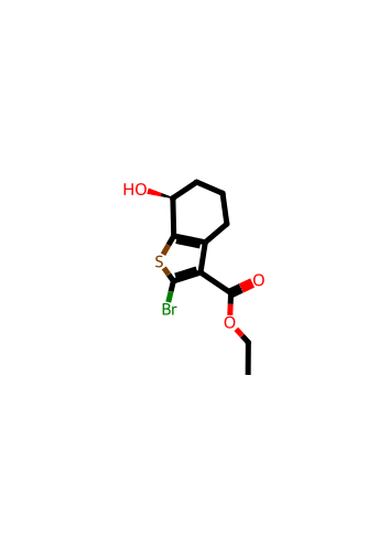 CCOC(=O)c1c(Br)sc2c1CCC[C@@H]2O